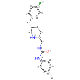 O=C(NC[C@@H]1CC[C@@H](Cc2ccc(F)cc2)CN1)Nc1ccc(F)cc1